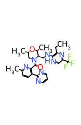 CCc1nc(C(F)(F)F)cnc1NC[C@@H]1[C@H](C)O[C@H](C)CN1C(=O)c1nc(C)ccc1-c1ncccn1